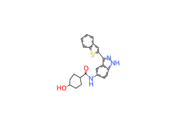 O=C(Nc1ccc2[nH]nc(-c3cc4ccccc4s3)c2c1)C1CCC(O)CC1